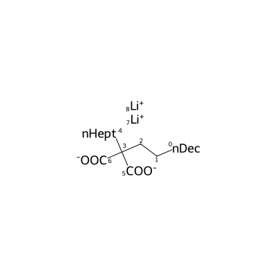 CCCCCCCCCCCCC(CCCCCCC)(C(=O)[O-])C(=O)[O-].[Li+].[Li+]